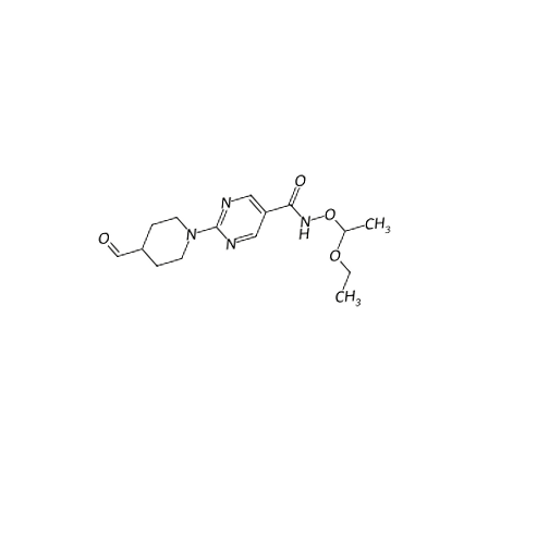 CCOC(C)ONC(=O)c1cnc(N2CCC(C=O)CC2)nc1